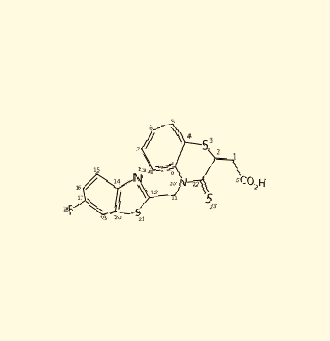 O=C(O)CC1Sc2ccccc2N(Cc2nc3ccc(F)cc3s2)C1=S